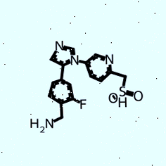 NCc1ccc(-c2cncn2-c2ccc(C[SH](=O)=O)nc2)cc1F